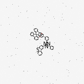 c1ccc(-c2nc(-c3cccc(-c4cccc(-c5cccc6c5C5(c7ccccc7-c7ccccc75)c5ccccc5-6)c4)c3)nc(-c3ccc4sc5ccccc5c4c3)n2)cc1